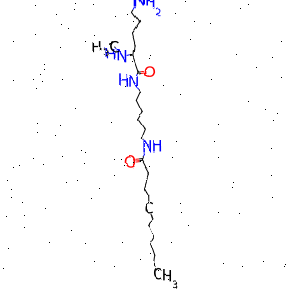 CCCCCCCCCCCC(=O)NCCCCCCNC(=O)C(CCCCN)NC